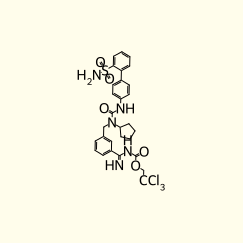 N=C(NC(=O)OCC(Cl)(Cl)Cl)c1cccc(CN(C(=O)Nc2ccc(-c3ccccc3S(N)(=O)=O)cc2)C2CCCC2)c1